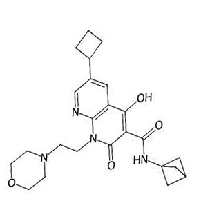 O=C(NC12CC(C1)C2)c1c(O)c2cc(C3CCC3)cnc2n(CCN2CCOCC2)c1=O